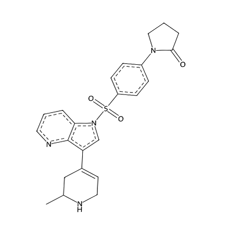 CC1CC(c2cn(S(=O)(=O)c3ccc(N4CCCC4=O)cc3)c3cccnc23)=CCN1